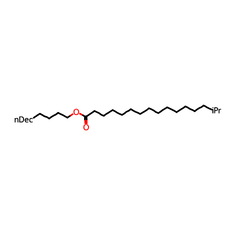 CCCCCCCCCCCCCCOC(=O)CCCCCCCCCCCCCC(C)C